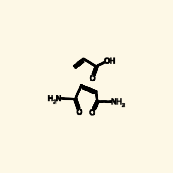 C=CC(=O)O.NC(=O)/C=C\C(N)=O